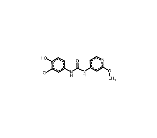 COc1cc(NC(=O)Nc2ccc(O)c(Cl)c2)ccn1